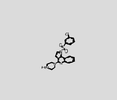 O=S(=O)(c1cccc(Cl)c1)n1ccc2c(N3CCNCC3)nc3ccccc3c21